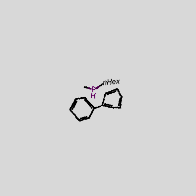 CCCCCCPC.c1ccc(-c2ccccc2)cc1